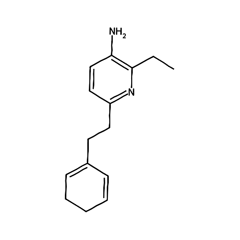 CCc1nc(CCC2=CCCC=C2)ccc1N